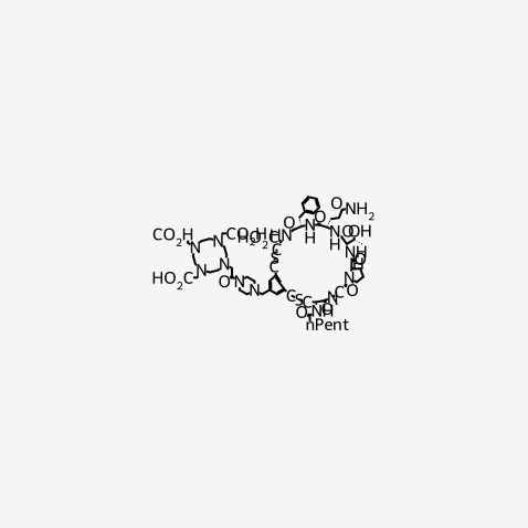 CCCCCC(=O)N[C@H]1CSCc2cc(cc(CN3CCN(C(=O)CN4CCN(CC(=O)O)CCN(CC(=O)O)CCN(CC(=O)O)CC4)CC3)c2)CSC[C@@H](C(=O)O)NC(=O)[C@H](Cc2ccccc2)NC(=O)[C@H](CCC(N)=O)NC(=O)[C@H]([C@@H](C)O)NC(=O)[C@@H]2CCCN2C(=O)CN(C)C1=O